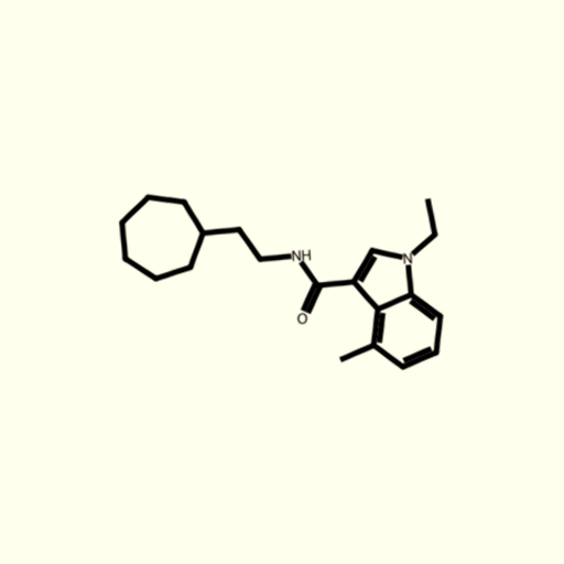 CCn1cc(C(=O)NCCC2CCCCCC2)c2c(C)cccc21